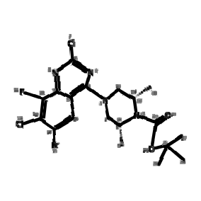 C[C@@H]1CN(c2nc(Cl)nc3c(F)c(Cl)c(Br)cc23)C[C@H](C)N1C(=O)OC(C)(C)C